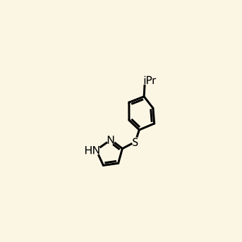 CC(C)c1ccc(Sc2cc[nH]n2)cc1